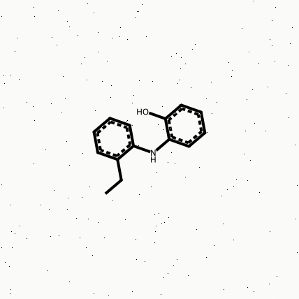 CCc1ccc[c]c1Nc1ccccc1O